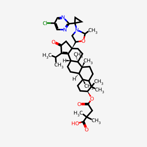 CC(C)C1=C2[C@H]3CC[C@@H]4[C@@]5(C)CC[C@H](OC(=O)CC(C)(C)C(=O)O)C(C)(C)C5CC[C@@]4(C)[C@]3(C)CC[C@@]2(C2CN(C3(c4ncc(Cl)cn4)CC3)C(C)O2)CC1=O